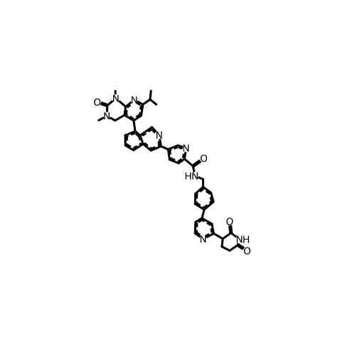 CC(C)c1cc(-c2cccc3cc(-c4ccc(C(=O)NCc5ccc(-c6ccnc(C7CCC(=O)NC7=O)c6)cc5)nc4)ncc23)c2c(n1)N(C)C(=O)N(C)C2